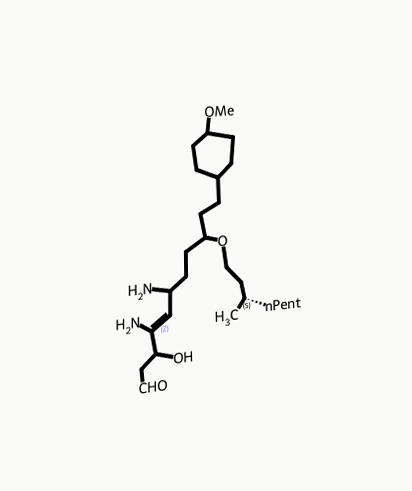 CCCCC[C@H](C)CCOC(CCC(N)/C=C(\N)C(O)CC=O)CCC1CCC(OC)CC1